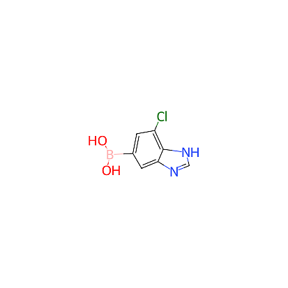 OB(O)c1cc(Cl)c2[nH]cnc2c1